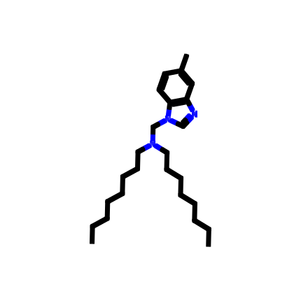 CCCCCCCCN(CCCCCCCC)Cn1cnc2cc(C)ccc21